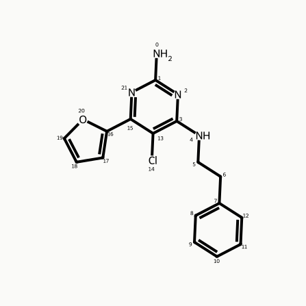 Nc1nc(NCCc2ccccc2)c(Cl)c(-c2ccco2)n1